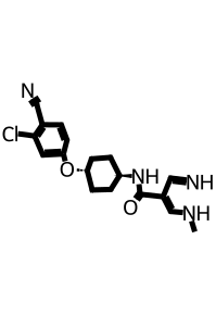 CN/C=C(\C=N)C(=O)N[C@H]1CC[C@H](Oc2ccc(C#N)c(Cl)c2)CC1